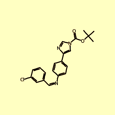 CC(C)(C)OC(=O)n1cnc(-c2ccc(/N=C\c3cccc(Cl)c3)cc2)c1